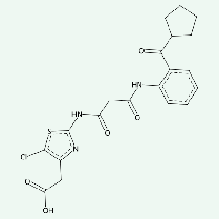 O=C(O)Cc1nc(NC(=O)CC(=O)Nc2ccccc2C(=O)C2CCCC2)sc1Cl